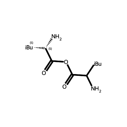 CCC(C)C(N)C(=O)OC(=O)[C@@H](N)[C@@H](C)CC